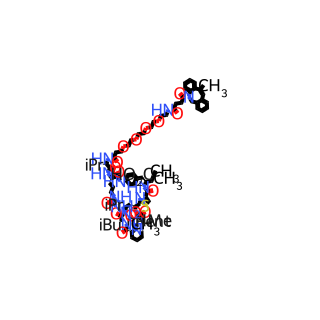 CCCCCON(C(=O)[C@@H](NC(=O)[C@H]1CCCCN1C)[C@@H](C)CC)[C@H](C[C@@H](OC(=O)NC)c1nc(C(=O)N[C@@H](Cc2ccc(NC(=O)[C@H](CCCNC(N)=O)NC(=O)[C@@H](NC(=O)CCOCCOCCOCCOCCNC(=O)CCC(=O)N3Cc4ccccc4/C=C(/C)c4ccccc43)C(C)C)cc2)CC(C)(C)C(=O)O)cs1)C(C)C